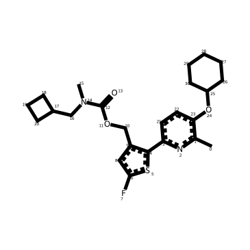 Cc1nc(-c2sc(F)cc2COC(=O)N(C)CC2CCC2)ccc1OC1CCCCC1